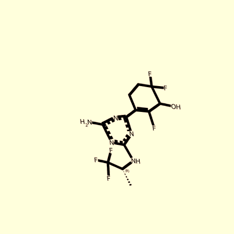 C[C@@H](Nc1nc(N)nc(C2=C(F)C(O)C(F)(F)CC2)n1)C(F)(F)F